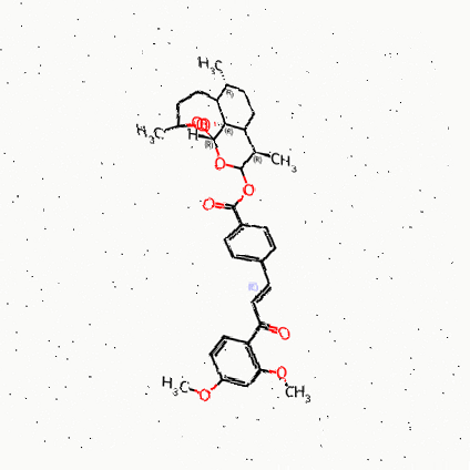 COc1ccc(C(=O)/C=C/c2ccc(C(=O)OC3O[C@@H]4OC5(C)CCC6[C@H](C)CCC([C@H]3C)[C@]64OO5)cc2)c(OC)c1